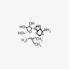 CCN(CC)CC.Nc1ncnc2c1ncn2[C@@H]1O[C@H](CO)[C@@H](O)[C@H]1O